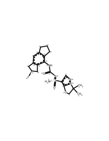 CC1(C)COc2c([S@@](N)(=O)=NC(=O)Nc3c4c(cc5c3C[C@@H](F)C5)CCC4)cnn21